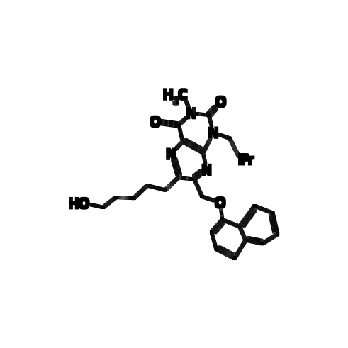 CC(C)Cn1c(=O)n(C)c(=O)c2nc(CCCCCO)c(COc3cccc4ccccc34)nc21